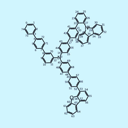 c1ccc(-c2ccc(-c3cccc(N(c4ccc(-c5ccc(-c6ccccc6-n6c7ccccc7c7ccccc76)cc5)cc4)c4ccc(-c5ccc(-c6cccc7c6oc6ccccc67)cc5)cc4)c3)cc2)cc1